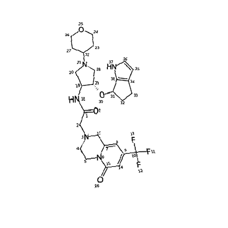 O=C(CN1CCn2c(cc(C(F)(F)F)cc2=O)C1)NC1CN(C2CCOCC2)C[C@@H]1OC1CCc2cc[nH]c21